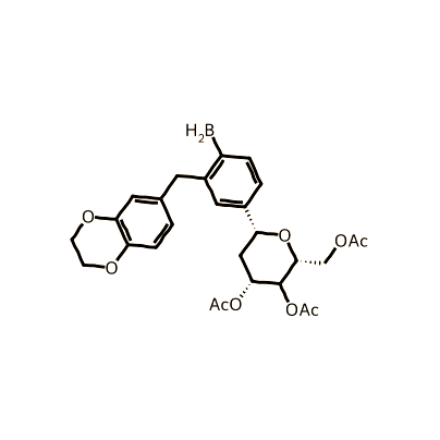 Bc1ccc([C@H]2C[C@@H](OC(C)=O)C(OC(C)=O)[C@@H](COC(C)=O)O2)cc1Cc1ccc2c(c1)OCCO2